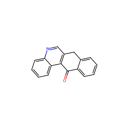 O=C1c2ccccc2Cc2cnc3ccccc3c21